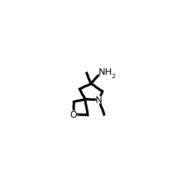 CN1CC(C)(N)CC12COC2